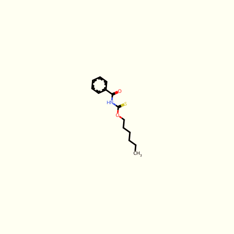 CCCCCCOC(=S)NC(=O)c1ccccc1